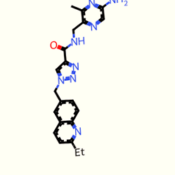 CCc1ccc2cc(Cn3cc(C(=O)NCc4ncc(N)nc4C)nn3)ccc2n1